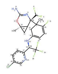 CC1([C@@]2(C(F)F)N=C(N)O[C@@H]3CC32)CC(N[C@H](c2ccc(Cl)cn2)C(F)(F)F)=CC=C1F